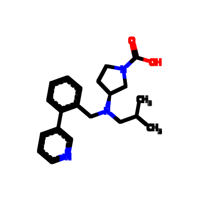 CC(C)CN(Cc1ccccc1-c1cccnc1)[C@H]1CCN(C(=O)O)C1